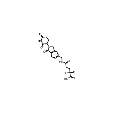 O=C(CCC(F)(F)C(=O)O)NCc1ccc2c(c1)CN(C1CCC(=O)NC1=O)C2=O